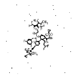 C[C@@H]1c2c(C(F)F)nn(CC(=O)N[C@@H](Cc3cc(F)cc(F)c3)c3nc(C#CC(C)(C)S(=O)(=O)C4CC4)ccc3-c3cccc4c(NS(=O)(=O)C5CC5)nn(CC(F)F)c34)c2C(F)(F)[C@@H]1C